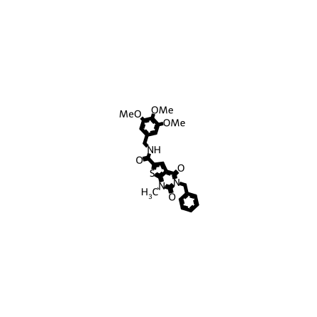 COc1cc(CNC(=O)c2cc3c(=O)n(Cc4ccccc4)c(=O)n(C)c3s2)cc(OC)c1OC